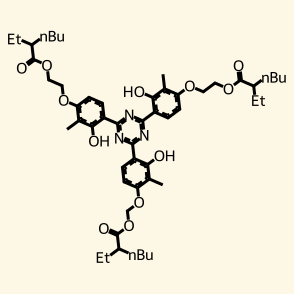 CCCCC(CC)C(=O)OCCOc1ccc(-c2nc(-c3ccc(OCCOC(=O)C(CC)CCCC)c(C)c3O)nc(-c3ccc(OCOC(=O)C(CC)CCCC)c(C)c3O)n2)c(O)c1C